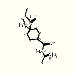 CCN(C)C1(NC)CCC(C(=O)NC(C)=N)CC1